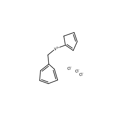 C1=CC[C]([V+3][CH2]c2ccccc2)=C1.[Cl-].[Cl-].[Cl-]